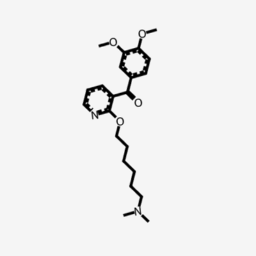 COc1ccc(C(=O)c2cccnc2OCCCCCCN(C)C)cc1OC